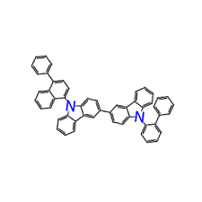 c1ccc(-c2ccccc2-n2c3ccccc3c3cc(-c4ccc5c(c4)c4ccccc4n5-c4ccc(-c5ccccc5)c5ccccc45)ccc32)cc1